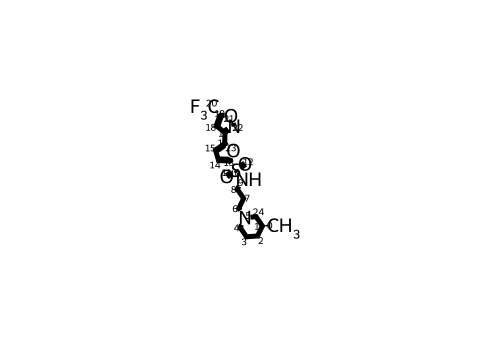 C[C@@H]1CCCN(CCCNS(=O)(=O)c2ccc(-c3cc(C(F)(F)F)on3)o2)C1